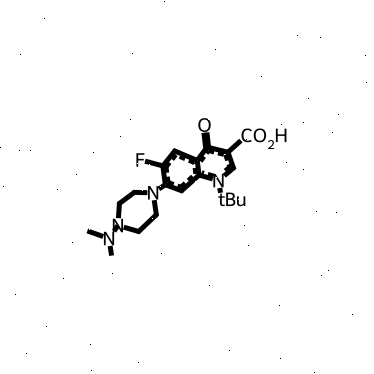 CN(C)N1CCN(c2cc3c(cc2F)c(=O)c(C(=O)O)cn3C(C)(C)C)CC1